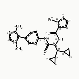 Cc1ncn(C)c1-c1ccc(NC(=O)[C@@H](NC(=O)c2ccnn2C(C)C)C(C2CC2)C2CC2)cc1